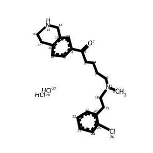 CN(CCCCC(=O)c1ccc2c(c1)CNCC2)CCc1ccccc1Cl.Cl.Cl